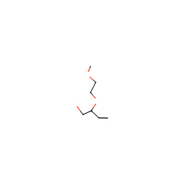 CCC(CO)OCCOC